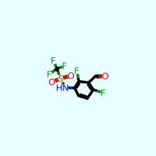 O=Cc1c(F)ccc(NS(=O)(=O)C(F)(F)F)c1F